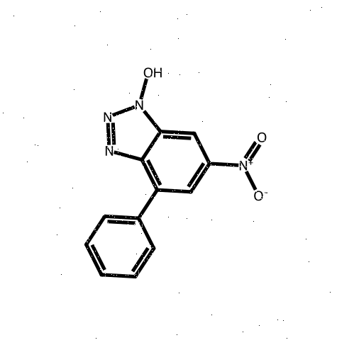 O=[N+]([O-])c1cc(-c2ccccc2)c2nnn(O)c2c1